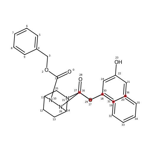 O=C(OCc1ccccc1)N1C2CCC(N(CCc3cccc(O)c3)C2)N1C(=O)OCc1ccccc1